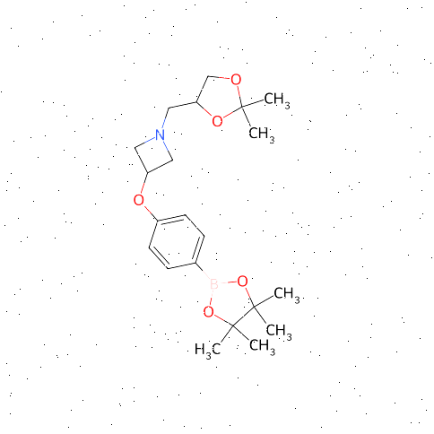 CC1(C)OCC(CN2CC(Oc3ccc(B4OC(C)(C)C(C)(C)O4)cc3)C2)O1